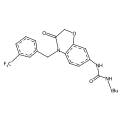 CC(C)(C)NC(=O)Nc1ccc2c(c1)OCC(=O)N2Cc1cccc(C(F)(F)F)c1